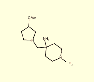 COC1CCN(CC2(N)CCN(C)CC2)C1